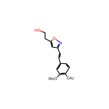 COc1cc(C=Cc2cc(CCO)on2)ccc1OC(C)=O